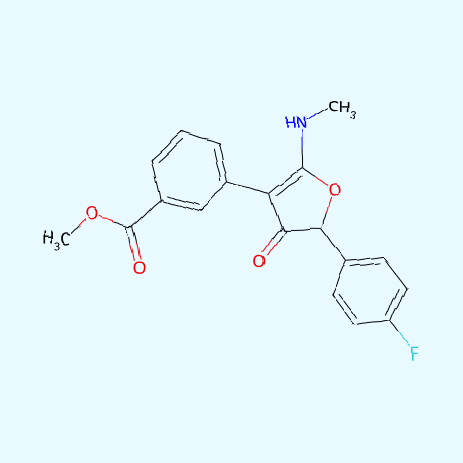 CNC1=C(c2cccc(C(=O)OC)c2)C(=O)C(c2ccc(F)cc2)O1